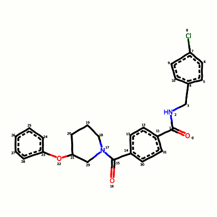 O=C(NCc1ccc(Cl)cc1)c1ccc(C(=O)N2CCCC(Oc3ccccc3)C2)cc1